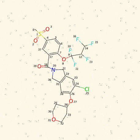 CS(=O)(=O)c1ccc(OC(F)(F)C(F)C(F)F)c(C(=O)N2Cc3cc(Cl)c(OC4CCOCC4)cc3C2)c1